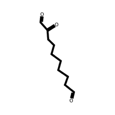 O=CCCCCCCCC(=O)C=O